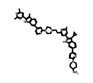 Cc1cc(-c2[nH]c3cc(-c4ccnc(N5CCN(CCc6cc(-c7[nH]c8cc(-c9ccc(N%10CCC(N)CC%10)nc9)ccc8c7C7CC7)cc(C)n6)CC5)c4)ccc3c2C)cc(C)n1